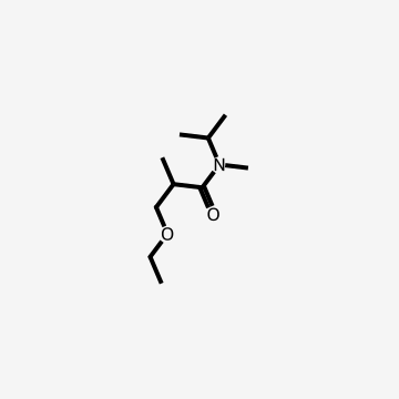 CCOCC(C)C(=O)N(C)C(C)C